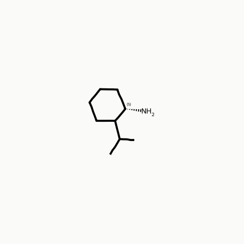 CC(C)C1CCCC[C@@H]1N